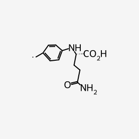 [CH2]c1ccc(N[C@@H](CCC(N)=O)C(=O)O)cc1